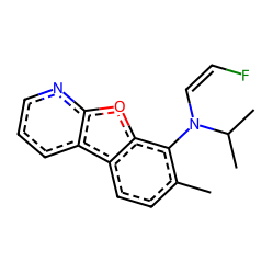 Cc1ccc2c(oc3ncccc32)c1N(/C=C\F)C(C)C